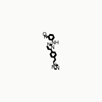 O=Nc1cccc(Nc2nccc(-c3ccc(CCn4cncn4)cc3)n2)c1